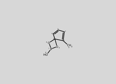 CC1=CC=CC12OB(O)O2